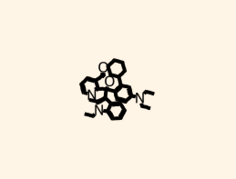 CCN(CC)c1ccc(C2(c3c(C)n(CC)c4ccccc34)OC(=O)c3cccnc32)c(C2CCCCC2)c1